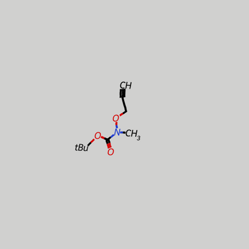 C#CCON(C)C(=O)OC(C)(C)C